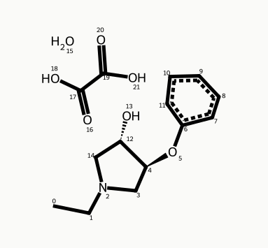 CCN1C[C@H](Oc2ccccc2)[C@@H](O)C1.O.O=C(O)C(=O)O